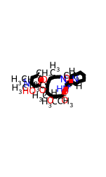 CNCC(=O)N1[C@@H]2CCC[C@H]1CC(C1COC(=O)C(C)(C)C(=O)[C@H](C)[C@@H](O[C@@H]3O[C@H](C)C[C@H](N(C)C)[C@H]3O)[C@](C)(OC)C[C@@H](C)CN1C)C2